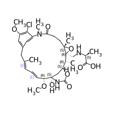 COc1cc2cc(c1Cl)N(C)C(=O)CC[C@]1(C)O[C@@]1(CN[C@@H](C)C(=O)O)[C@H](C)[C@@H]1C[C@@](O)(NC(=O)O1)[C@H](OC)/C=C/C=C(\C)C2